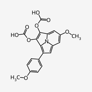 COc1ccc(-c2cc3cc(OC)cc4c(OC(=O)O)c(OC(=O)O)c2n34)cc1